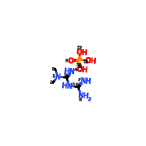 CN(C)C(=N)NC(=N)N.O=P(O)(O)O